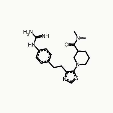 CN(C)C(=O)C1CCCN(c2scnc2CCc2ccc(NC(=N)N)cc2)C1